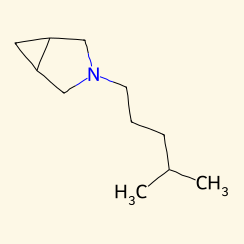 CC(C)CCCN1CC2CC2C1